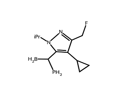 BC(P)c1c(C2CC2)c(CF)nn1C(C)C